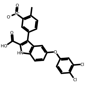 Cc1ccc(-c2c(C(=O)O)[nH]c3ccc(Oc4ccc(Cl)c(Cl)c4)cc23)cc1[N+](=O)[O-]